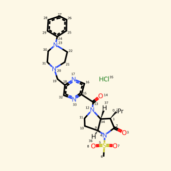 CC(C)[C@H]1C(=O)N(S(C)(=O)=O)[C@H]2CCN(C(=O)c3cnc(CN4CCN(c5ccccc5)CC4)cn3)[C@H]12.Cl